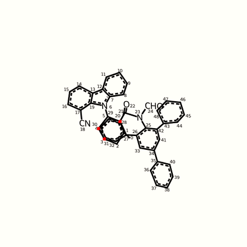 Cc1cccc(-n2c3ccccc3c3cccc(C#N)c32)c1C(=O)N(C=O)c1c(-c2ccccc2)cc(-c2ccccc2)cc1-c1ccccc1